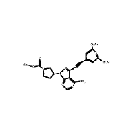 COc1cc(C#Cc2nn(C3CCN(C(=O)OC(C)(C)C)C3)c3ncnc(N)c23)cc(OC)n1